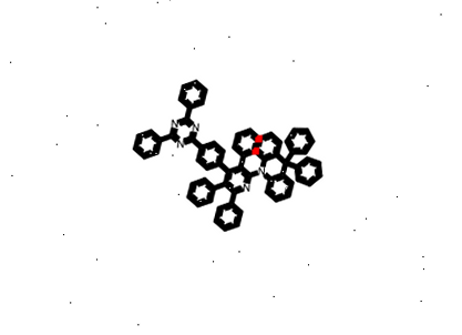 c1ccc(-c2nc(-c3ccccc3)nc(-c3ccc(-c4c(-c5ccccc5)c(-c5ccccc5)nc(N5c6ccccc6C(c6ccccc6)(c6ccccc6)c6ccccc65)c4-c4ccccc4)cc3)n2)cc1